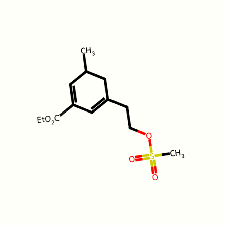 CCOC(=O)C1=CC(C)CC(CCOS(C)(=O)=O)=C1